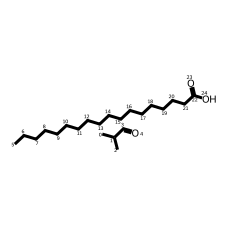 CC(C)C=O.CCCCCCCCCCCCCCCCCC(=O)O